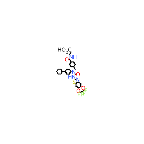 O=C(O)CCNC(=O)c1ccc(CN(C(=O)Nc2nc3cc4c(cc3s2)OC(F)(F)C(F)(F)O4)c2ccc(C3=CCCCC3)cc2)cc1